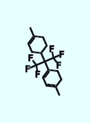 CC1=CC=C(C(C2CC=C(C)CC2)(C(F)(F)F)C(F)(F)F)CC1